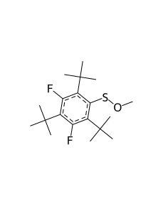 COSc1c(C(C)(C)C)c(F)c(C(C)(C)C)c(F)c1C(C)(C)C